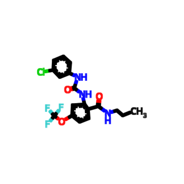 CCCNC(=O)c1ccc(OC(F)(F)F)cc1NC(=O)Nc1cccc(Cl)c1